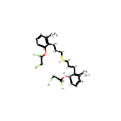 FCC(F)Oc1cccc(C(F)(F)F)c1CCCSCCCc1c(OC(F)CF)cccc1C(F)(F)F